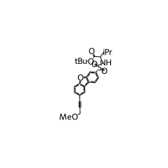 COCC#Cc1ccc2oc3cc(S(=O)(=O)NC(C(=O)OC(C)(C)C)C(C)C)ccc3c2c1